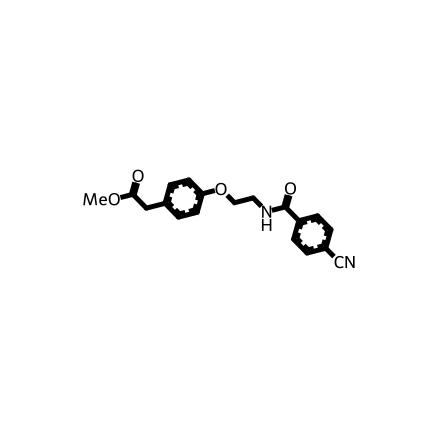 COC(=O)Cc1ccc(OCCNC(=O)c2ccc(C#N)cc2)cc1